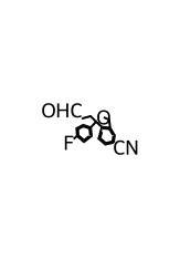 N#Cc1ccc2c(c1)COC2(CCC=O)c1ccc(F)cc1